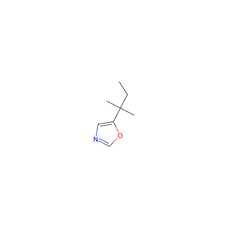 CCC(C)(C)c1cnco1